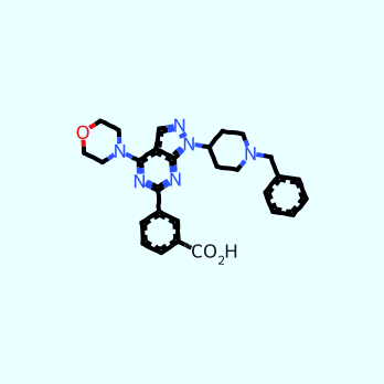 O=C(O)c1cccc(-c2nc(N3CCOCC3)c3cnn(C4CCN(Cc5ccccc5)CC4)c3n2)c1